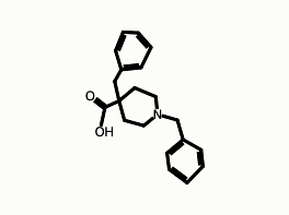 O=C(O)C1(Cc2ccccc2)CCN(Cc2ccccc2)CC1